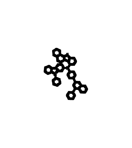 c1ccc(-c2cc(-c3ccc(N(c4ccc5c6ccccc6n(-c6ccccc6)c5c4)c4cccc5sc6c7ccccc7ccc6c45)cc3)cc3ccccc23)cc1